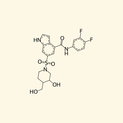 O=C(Nc1ccc(F)c(F)c1)c1cc(S(=O)(=O)N2CCC(CO)C(O)C2)cc2[nH]ccc12